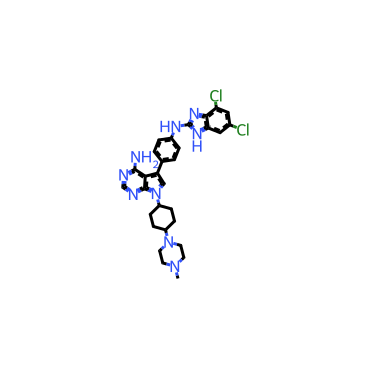 CN1CCN(C2CCC(n3cc(-c4ccc(Nc5nc6c(Cl)cc(Cl)cc6[nH]5)cc4)c4c(N)ncnc43)CC2)CC1